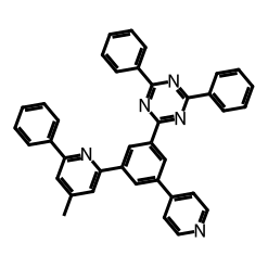 Cc1cc(-c2ccccc2)nc(-c2cc(-c3ccncc3)cc(-c3nc(-c4ccccc4)nc(-c4ccccc4)n3)c2)c1